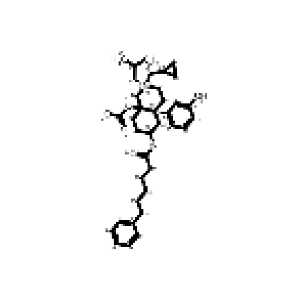 CC(=O)OC12CC[C@H](NC(=O)CCCCCc3ccccc3)C[C@@]1(c1cccc(O)c1)CC[N@+](CC(C)C)(CC1CC1)C2